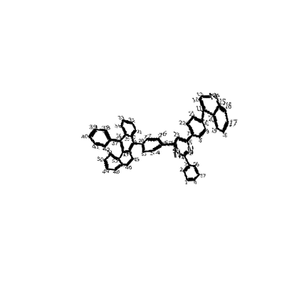 c1ccc(-c2nc(-c3ccc(-c4ccnc5ccccc45)cc3)cc(-c3ccc(-c4c5ccccc5c(-c5ccccc5)c5c4ccc4ccccc45)cc3)n2)cc1